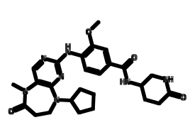 COc1cc(C(=O)NC2CCC(=O)NC2)ccc1Nc1ncc2c(n1)N(C1CCCC1)CCC(=O)N2C